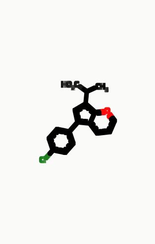 CC(C(=O)O)c1cc(-c2ccc(Cl)cc2)c2cccoc1-2